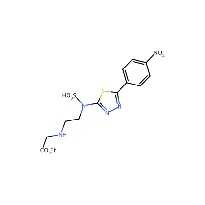 CCOC(=O)CNCCN(c1nnc(-c2ccc([N+](=O)[O-])cc2)s1)S(=O)(=O)O